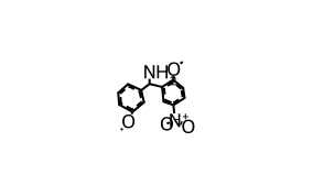 COc1cccc(C(N)c2cc([N+](=O)[O-])ccc2OC)c1